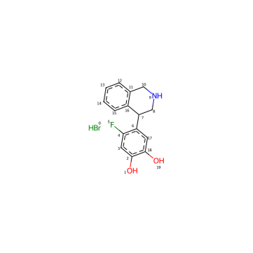 Br.Oc1cc(F)c(C2CNCc3ccccc32)cc1O